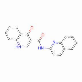 O=C(Nc1ccc2ccccc2n1)c1c[nH]c2ccccc2c1=O